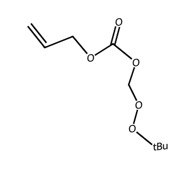 C=CCOC(=O)OCOOC(C)(C)C